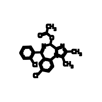 CC(=O)OC1N=C(c2ccccc2Cl)c2cc(Cl)ccc2-n2c1nc(C)c2C